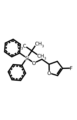 CC(C)(C)[Si](OCC1CC(F)=CO1)(c1ccccc1)c1ccccc1